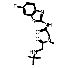 CN(CC(=O)Nc1nc2ccc(F)cc2s1)C(=O)CNC(C)(C)C